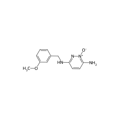 COc1cccc(CNc2ccc(N)[n+]([O-])n2)c1